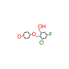 COc1ccc(OCc2c(Cl)cc(F)cc2CO)cc1